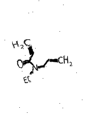 C=CCN(CC)C(=O)C=C